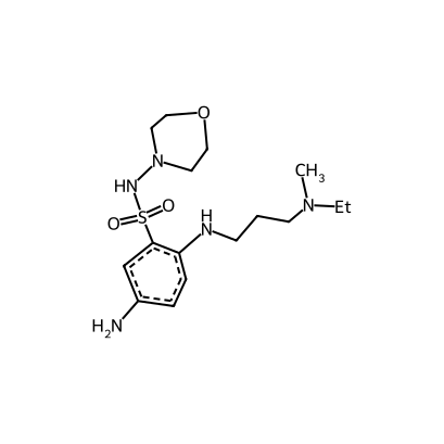 CCN(C)CCCNc1ccc(N)cc1S(=O)(=O)NN1CCOCC1